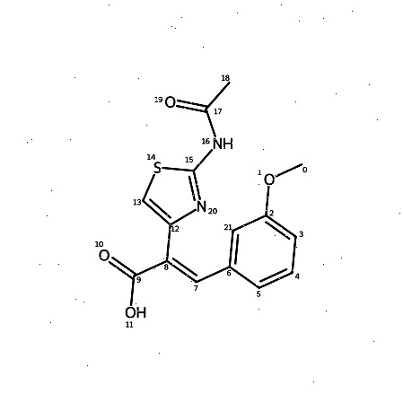 COc1cccc(/C=C(/C(=O)O)c2csc(NC(C)=O)n2)c1